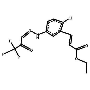 CCOC(=O)/C=C/c1cc(N/N=C\C(=O)C(F)(F)F)ccc1Cl